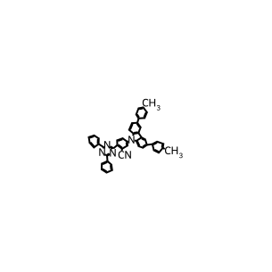 Cc1ccc(-c2ccc3c(c2)c2cc(-c4ccc(C)cc4)ccc2n3-c2ccc(-c3nc(-c4ccccc4)nc(-c4ccccc4)n3)c(C#N)c2)cc1